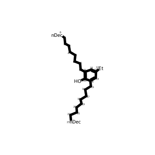 CCCCCCCCCCCCCCCCCCc1cc(CC)cc(CCCCCCCCCCCCCCCCCC)c1O